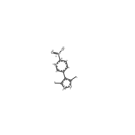 Cc1noc(C)c1-c1ccc([N+](=O)[O-])nc1